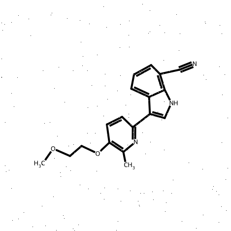 COCCOc1ccc(-c2c[nH]c3c(C#N)cccc23)nc1C